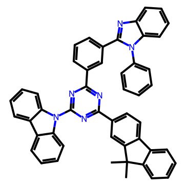 CC1(C)c2ccccc2-c2ccc(-c3nc(-c4cccc(-c5nc6ccccc6n5-c5ccccc5)c4)nc(-n4c5ccccc5c5ccccc54)n3)cc21